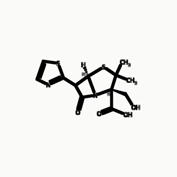 CC1(C)S[C@@H]2C(c3nccs3)C(=O)N2[C@@]1(CO)C(=O)O